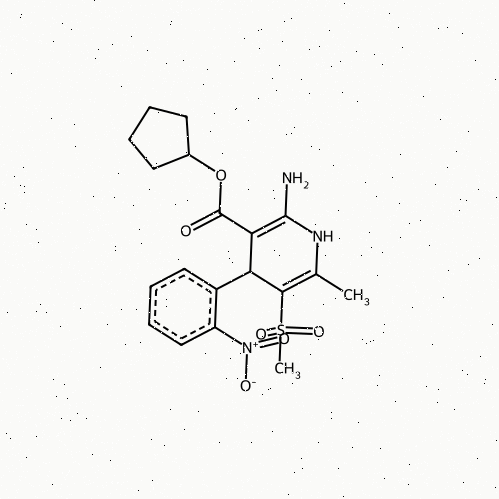 CC1=C(S(C)(=O)=O)C(c2ccccc2[N+](=O)[O-])C(C(=O)OC2CCCC2)=C(N)N1